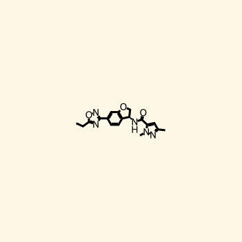 CCc1nc(-c2ccc3c(c2)OC[C@H]3NC(=O)c2cc(C)nn2C)no1